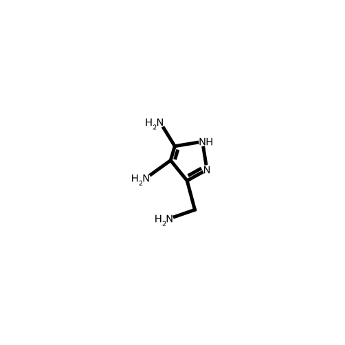 NCc1n[nH]c(N)c1N